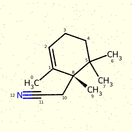 CC1=CCCC(C)(C)[C@]1(C)CC#N